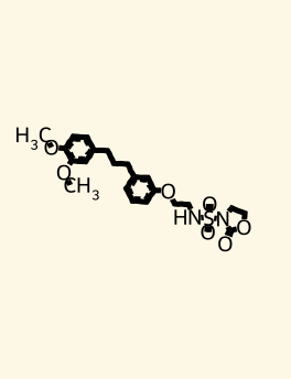 COc1ccc(CCCc2cccc(OCCNS(=O)(=O)N3CCOC3=O)c2)cc1OC